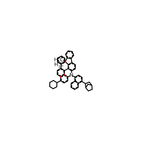 CC1(C)c2ccccc2-c2ccc(N(c3ccc(C4CCCCC4)cc3)c3ccc(C4CC5CCC4C5)c4ccccc34)c(-c3ccccc3-c3ccccc3)c21